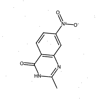 Cc1nc2cc([N+](=O)[O-])ccc2c(=O)[nH]1